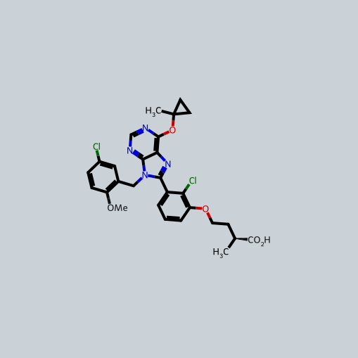 COc1ccc(Cl)cc1Cn1c(-c2cccc(OCC[C@H](C)C(=O)O)c2Cl)nc2c(OC3(C)CC3)ncnc21